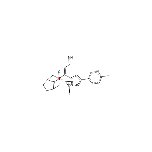 Cc1ccc(-c2c[nH]c(/C(=C\C=N)N3CC4CCC(C3)N4C(=O)[C@@H]3C[C@H]3F)c2)cn1